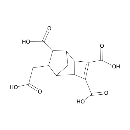 O=C(O)CC1C2CC(C1C(=O)O)C1C(C(=O)O)=C(C(=O)O)C21